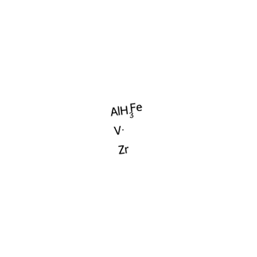 [AlH3].[Fe].[V].[Zr]